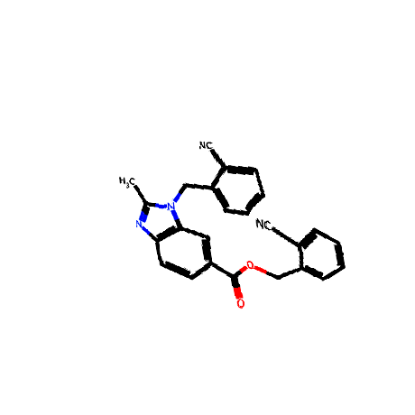 Cc1nc2ccc(C(=O)OCc3ccccc3C#N)cc2n1Cc1ccccc1C#N